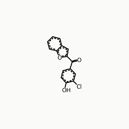 O=C(c1ccc(O)c(Cl)c1)c1cc2ccccc2o1